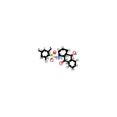 Cc1cc(C)c(S(=O)(=O)Nc2cccc3c2C(=O)c2ccccc2C3=O)c(C)c1